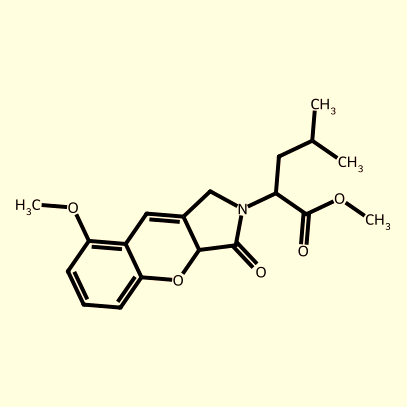 COC(=O)C(CC(C)C)N1CC2=Cc3c(OC)cccc3OC2C1=O